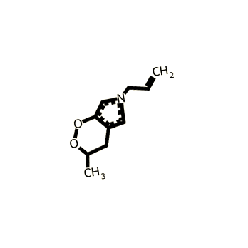 C=CCn1cc2c(c1)OOC(C)C2